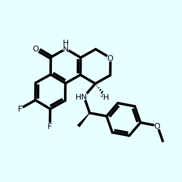 [2H][C@@]1(N[C@H](C)c2ccc(OC)cc2)COCc2[nH]c(=O)c3cc(F)c(F)cc3c21